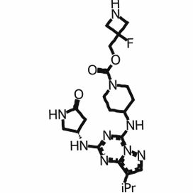 CC(C)c1cnn2c(NC3CCN(C(=O)OCC4(F)CNC4)CC3)nc(N[C@@H]3CNC(=O)C3)nc12